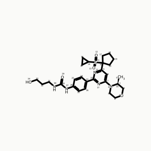 C[C@H]1COCCN1c1cc(C2(S(=O)(=O)C3CC3)CCCC2)nc(-c2ccc(NC(=O)NCCCO)cc2)n1